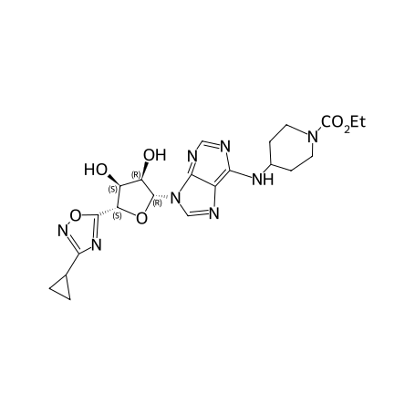 CCOC(=O)N1CCC(Nc2ncnc3c2ncn3[C@@H]2O[C@H](c3nc(C4CC4)no3)[C@@H](O)[C@H]2O)CC1